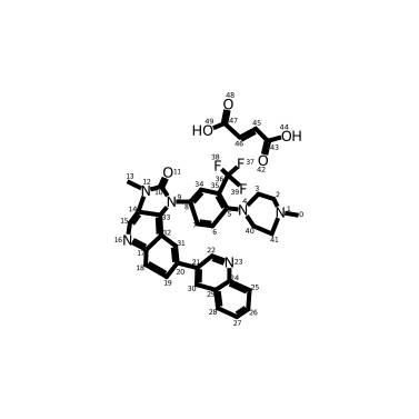 CN1CCN(c2ccc(-n3c(=O)n(C)c4cnc5ccc(-c6cnc7ccccc7c6)cc5c43)cc2C(F)(F)F)CC1.O=C(O)C=CC(=O)O